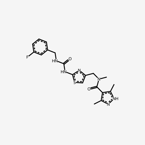 Cc1n[nH]c(C)c1C(=O)N(C)Cc1csc(NC(=O)NCc2cccc(F)c2)n1